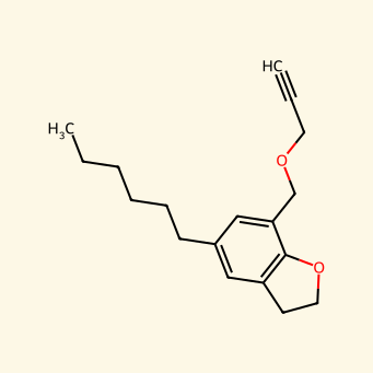 C#CCOCc1cc(CCCCCC)cc2c1OCC2